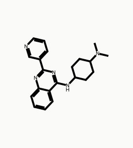 CN(C)C1CCC(Nc2nc(-c3cccnc3)nc3ccccc23)CC1